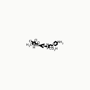 Cc1[nH]c(C(=O)NC2C3CN(c4nc(CC(=O)N5CCC(N)CC5)c(C(=O)O)s4)CC32)c(Cl)c1Cl